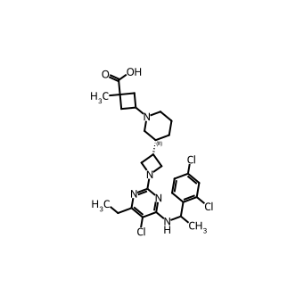 CCc1nc(N2CC([C@H]3CCCN(C4CC(C)(C(=O)O)C4)C3)C2)nc(NC(C)c2ccc(Cl)cc2Cl)c1Cl